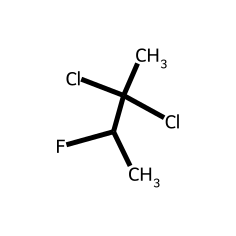 CC(F)C(C)(Cl)Cl